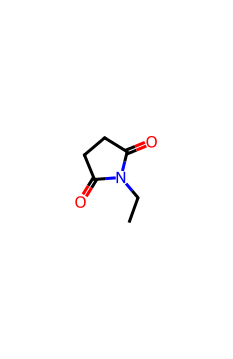 CCN1C(=O)CCC1=O